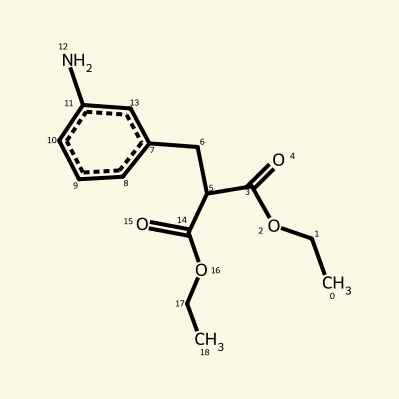 CCOC(=O)C(Cc1cccc(N)c1)C(=O)OCC